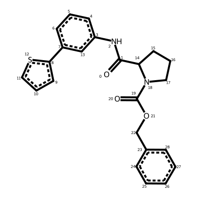 O=C(Nc1cccc(-c2cccs2)c1)C1CCCN1C(=O)OCc1ccccc1